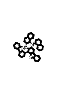 c1ccc2c(N3c4cc5c(sc6ccccc65)c5c4B(c4ccc6ccccc6c43)n3c4ccccc4c4cccc-5c43)cccc2c1